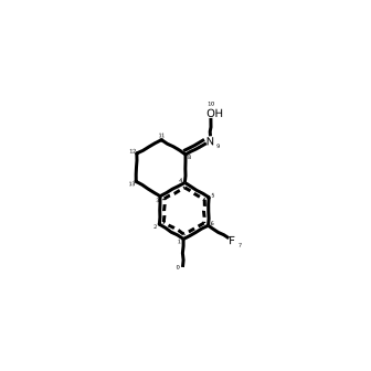 Cc1cc2c(cc1F)C(=NO)CCC2